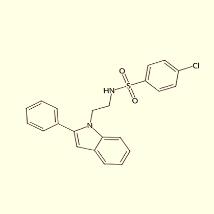 O=S(=O)(NCCn1c(-c2ccccc2)cc2ccccc21)c1ccc(Cl)cc1